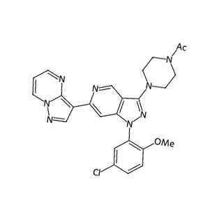 COc1ccc(Cl)cc1-n1nc(N2CCN(C(C)=O)CC2)c2cnc(-c3cnn4cccnc34)cc21